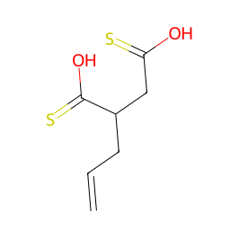 C=CCC(CC(O)=S)C(O)=S